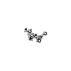 CCCC(NC(=O)[C@@H]1[C@@H]2[C@H](CN1C(=O)[C@@H](NC(=O)NC1(CS(=O)(=O)C(C)(C)COC3CCCCO3)CCCCC1)C(C)(C)C)C2(C)C)C(=O)C(=O)NC1CC1